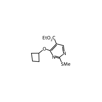 CCOC(=O)c1cnc(SC)nc1OC1CCC1